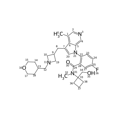 Cc1cncc2c1c(CC1CN(CC3CCOCC3)C1)cn2-c1ccc(F)cc1C(=O)N(C)C1(CO)CCC1